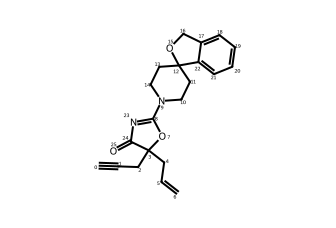 C#CCC1(CC=C)OC(N2CCC3(CC2)OCc2ccccc23)=NC1=O